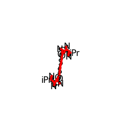 CC(C)C(CCC(C)C(CCC1CCC(C(=O)OCCCCCCSCCCCCCCCSCCCCCCOC(=O)C2CCC(CCC(SCCN(C)C)C(C)CCC(SCCN(C)C)C(C)C)C(SCCN(C)C)C2)CC1SCCN(C)C)SCCN(C)C)SCCN(C)C